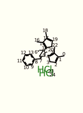 CC1=CC[C]([Zr]([CH3])(=[CH]c2ccccc2)[C]2=C(C)C(C)=CC2)=C1C.Cl.Cl